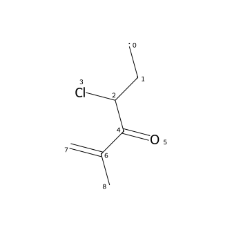 [CH2]CC(Cl)C(=O)C(=C)C